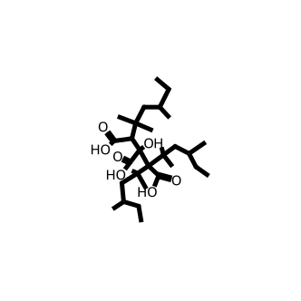 CCC(C)CC(C)(C)C(C(=O)O)C(O)(C(=O)O)C(C(=O)O)(C(C)(C)CC(C)CC)C(C)(C)CC(C)CC